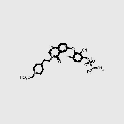 CCN(C)S(=O)(=O)Nc1ccc(F)c(Oc2ccc3ncn(CCC4CCN(CC(=O)O)CC4)c(=O)c3c2)c1C#N